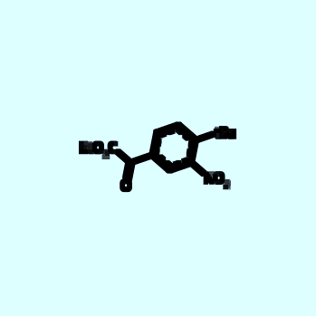 CCOC(=O)C(=O)c1ccc(C(C)(C)C)c([N+](=O)[O-])c1